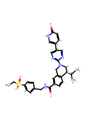 CCS(=O)(=O)c1ccc(CNC(=O)c2ccc3c(c2)CN(c2ncc(-c4ccc(=O)[nH]c4)cn2)C[C@H]3C(C)C)cc1